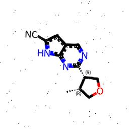 C[C@H]1COC[C@H]1c1ncc2cc(C#N)[nH]c2n1